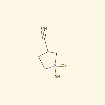 C#CC1CCP(=S)(S)C1